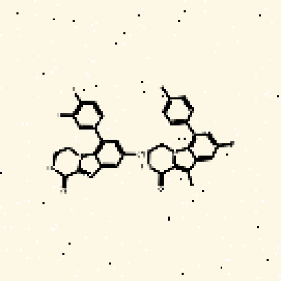 Cc1ccc(-c2cc(F)cc3c(C)c4n(c23)CCNC4=O)cc1.N#Cc1cc(-c2ccc(F)c(F)c2)c2c(c1)cc1n2CCNC1=O